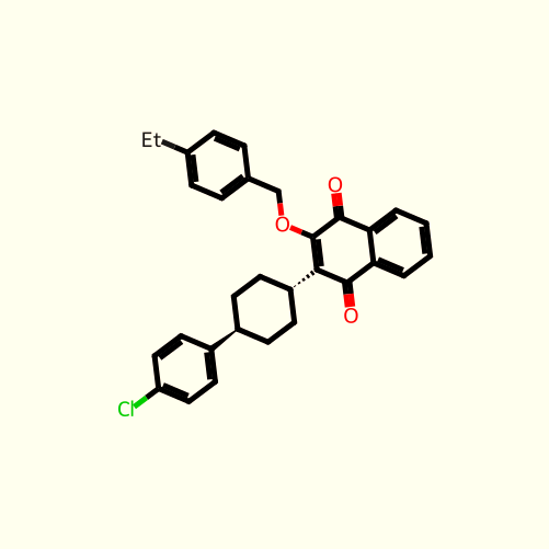 CCc1ccc(COC2=C([C@H]3CC[C@H](c4ccc(Cl)cc4)CC3)C(=O)c3ccccc3C2=O)cc1